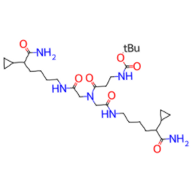 CC(C)(C)OC(=O)NCCC(=O)N(CC(=O)NCCCCC(C(N)=O)C1CC1)CC(=O)NCCCCC(C(N)=O)C1CC1